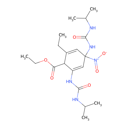 CCOC(=O)C1C(CC)=CC(NC(=O)NC(C)C)([N+](=O)[O-])C=C1NC(=O)NC(C)C